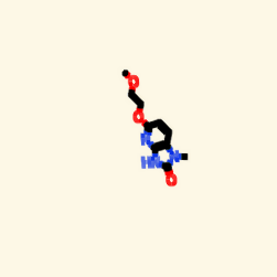 COCCOc1ccc2c(n1)[nH]c(=O)n2C